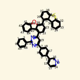 c1ccc(-c2nc(-c3ccc(-c4cccnc4)cc3)cc(-c3ccc(-c4cccc5sc6ccccc6c45)c4oc5ccccc5c34)n2)cc1